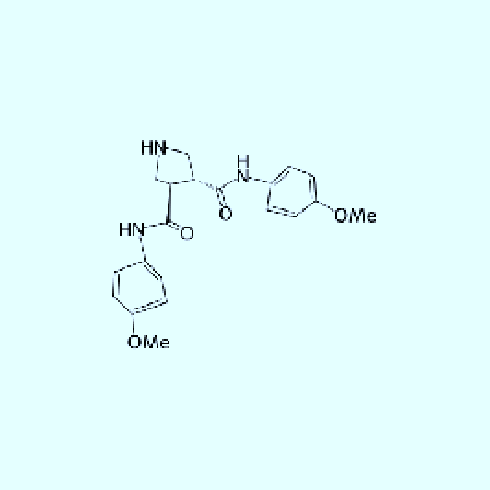 COc1ccc(NC(=O)[C@H]2CNC[C@@H]2C(=O)Nc2ccc(OC)cc2)cc1